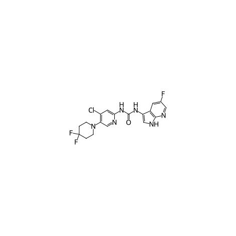 O=C(Nc1cc(Cl)c(N2CCC(F)(F)CC2)cn1)Nc1c[nH]c2ncc(F)cc12